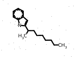 CCCCCCCC(C)C1=Cc2ccccc2[N]1